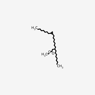 CCCCCCCCCC(CCCCCCCC1CC1CCCCCCCC)CC(=O)OCC